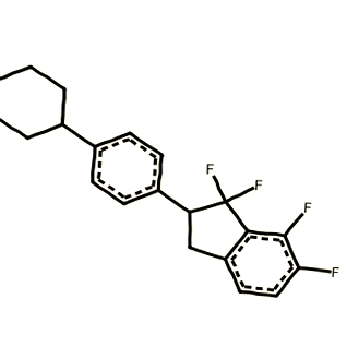 Fc1ccc2c(c1F)C(F)(F)C(c1ccc(C3CCCCC3)cc1)C2